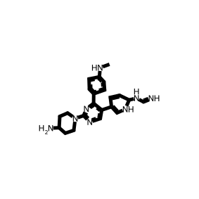 CNc1ccc(-c2nc(N3CCC(N)CC3)ncc2C2=CNC(NC=N)C=C2)cc1